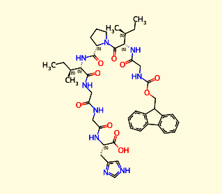 CC[C@H](C)[C@H](NC(=O)[C@@H]1CCCN1C(=O)[C@@H](NC(=O)CNC(=O)OCC1c2ccccc2-c2ccccc21)[C@@H](C)CC)C(=O)NCC(=O)NCC(=O)N[C@@H](Cc1c[nH]cn1)C(=O)O